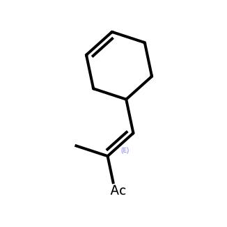 CC(=O)/C(C)=C/C1CC=CCC1